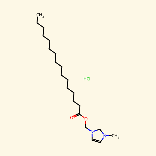 CCCCCCCCCCCCCCCC(=O)OCN1C=CN(C)C1.Cl